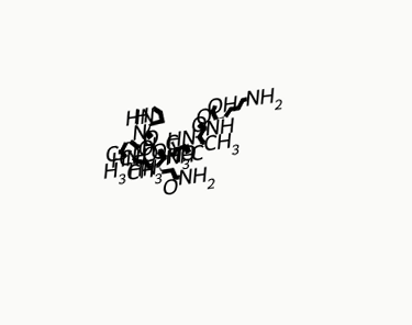 CC(C)C[C@H](NC(=O)[C@@H]1CCCN1)C(=O)N[C@@H](C)C(=O)N[C@@H](CCC(N)=O)C(=O)N[C@@H](C)C(=O)N[C@H](C(=O)N[C@@H](CCCCN)C(=O)O)C(C)C